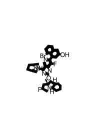 Oc1cc(-c2ncc3c(N4CC5CCC(C4)N5)nc(OC[C@]45C[C@H](F)CN4[C@H]4CCCC[C@H]4C5)nc3c2F)c2c(Br)cccc2c1